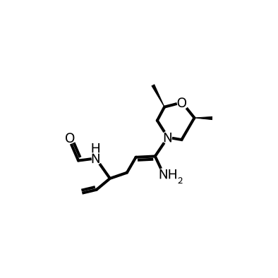 C=CC(C/C=C(\N)N1C[C@@H](C)O[C@@H](C)C1)NC=O